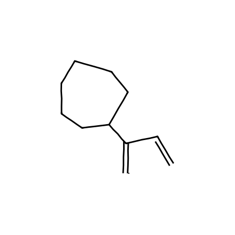 [CH]=C(C=C)C1CCCCCC1